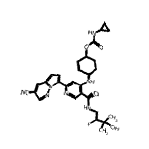 CC(C)(O)C(F)CNC(=O)c1cnc(-c2ccc3cc(C#N)cnn23)cc1NC1CCC(OC(=O)NC2CC2)CC1